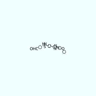 O=C[C@H]1CC[C@H](c2nnc(-c3ccc(-c4cnc(N5CCC(OC6CCCCC6)CC5)nc4)cc3)s2)CC1